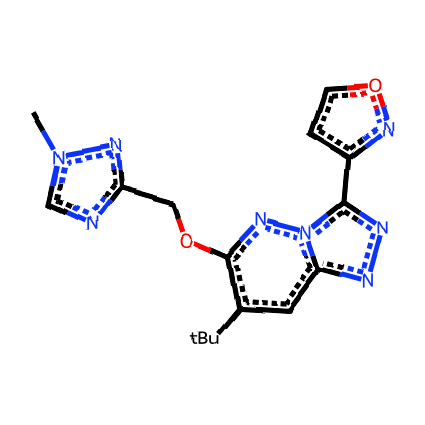 Cn1cnc(COc2nn3c(-c4ccon4)nnc3cc2C(C)(C)C)n1